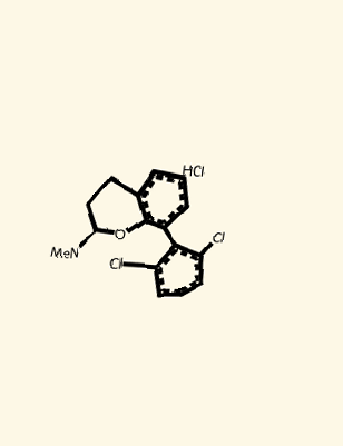 CN[C@H]1CCc2cccc(-c3c(Cl)cccc3Cl)c2O1.Cl